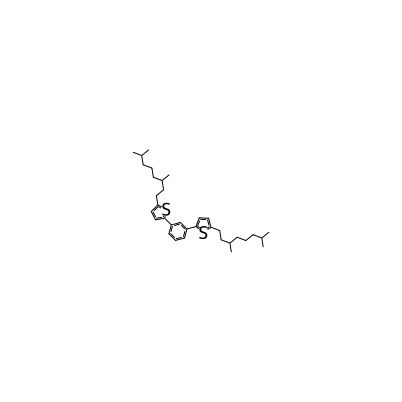 CC(C)CCCC(C)CCc1ccc(-c2cccc(-c3ccc(CCC(C)CCCC(C)C)s3)c2)s1